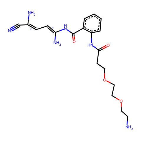 N#C/C(N)=C/C=C(\N)NC(=O)c1ccccc1NC(=O)CCOCCOCCN